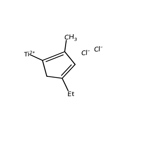 CCC1=CC(C)=[C]([Ti+2])C1.[Cl-].[Cl-]